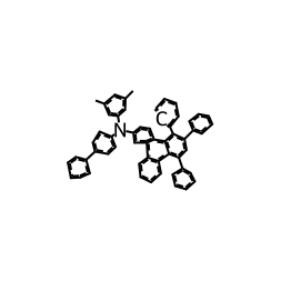 Cc1cc(C)cc(N(c2ccc(-c3ccccc3)cc2)c2ccc3c(c2)c2ccccc2c2c(-c4ccccc4)cc(-c4ccccc4)c(-c4ccccc4)c32)c1